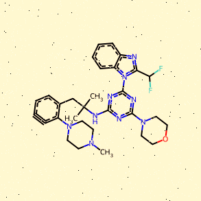 CN1CCN(c2c#cccc2CC(C)(C)Nc2nc(N3CCOCC3)nc(-n3c(C(F)F)nc4ccccc43)n2)CC1